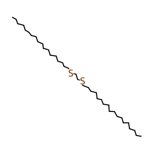 CCCCCCCCCCCCCCCCCCSCCSCCCCCCCCCCCCCCCCCC